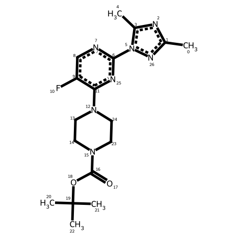 Cc1nc(C)n(-c2ncc(F)c(N3CCN(C(=O)OC(C)(C)C)CC3)n2)n1